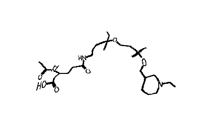 CCN1CCCC(COC(C)(C)CCOC(C)(C)CCNC(=O)CCC(NC(C)=O)C(=O)O)C1